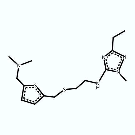 CCc1nc(NCCSCc2ccc(CN(C)C)s2)n(C)n1